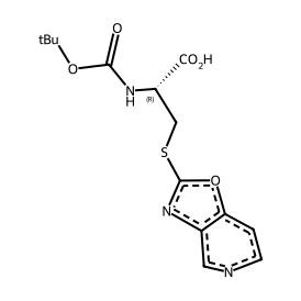 CC(C)(C)OC(=O)N[C@@H](CSc1nc2cnccc2o1)C(=O)O